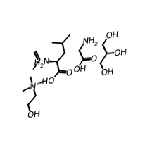 C=CC.CC(C)C[C@H](N)C(=O)O.C[N+](C)(C)CCO.NCC(=O)O.OCC(O)CO